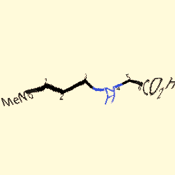 CNCCCNCC(=O)O